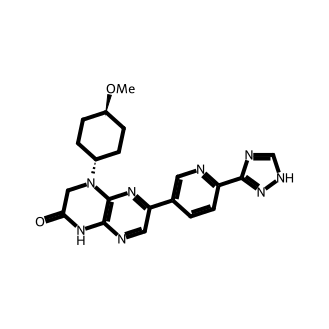 CO[C@H]1CC[C@H](N2CC(=O)Nc3ncc(-c4ccc(-c5nc[nH]n5)nc4)nc32)CC1